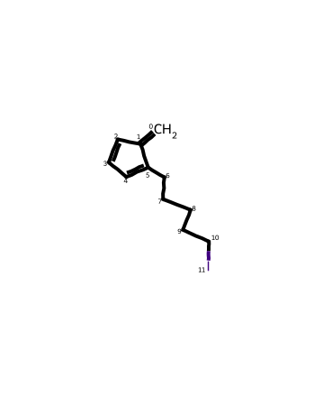 C=C1C=CC=C1CCCCCI